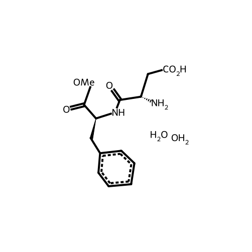 COC(=O)[C@H](Cc1ccccc1)NC(=O)[C@@H](N)CC(=O)O.O.O